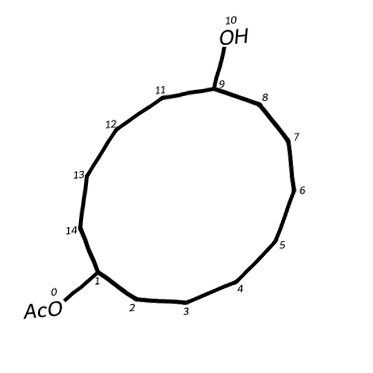 CC(=O)OC1CCCCCCCC(O)CCCC1